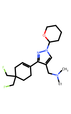 [CH2]CN(C)Cc1cn(C2CCCCO2)nc1C1=CCC(CF)(CF)CC1